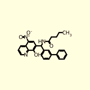 CCCCC(=O)NC(c1cccc(-c2ccccc2)c1)c1cc([N+](=O)[O-])c2cccnc2c1O